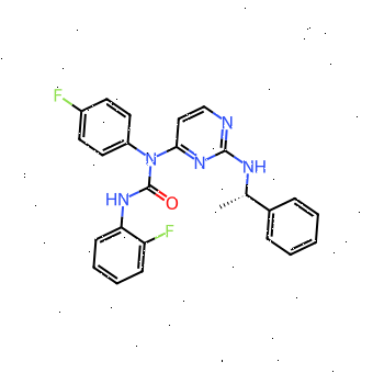 C[C@H](Nc1nccc(N(C(=O)Nc2ccccc2F)c2ccc(F)cc2)n1)c1ccccc1